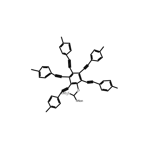 CCCCCCCCCC(Oc1c(C#Cc2ccc(C)cc2)c(C#Cc2ccc(C)cc2)c(C#Cc2ccc(C)cc2)c(C#Cc2ccc(C)cc2)c1C#Cc1ccc(C)cc1)C(=O)OCC